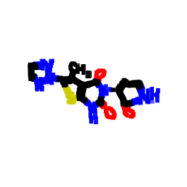 Cc1c(-n2nccn2)sc2[nH]c(=O)n([C@@H]3CCNC3=O)c(=O)c12